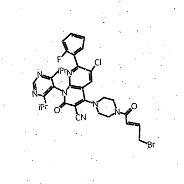 CC(C)c1ncnc(C(C)C)c1-n1c(=O)c(C#N)c(N2CCN(C(=O)C=CCBr)CC2)c2cc(Cl)c(-c3ccccc3F)nc21